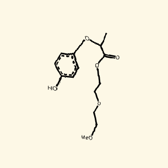 COCCOCCOC(=O)C(C)Oc1ccc(O)cc1